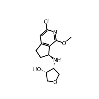 COc1nc(Cl)cc2c1[C@@H](N[C@@H]1COC[C@@H]1O)CC2